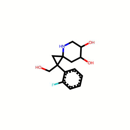 OCC1(c2ccccc2F)CC12CC(O)C(O)CN2